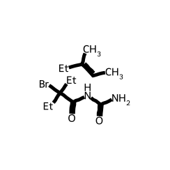 C/C=C(\C)CC.CCC(Br)(CC)C(=O)NC(N)=O